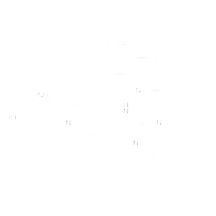 CC(C)C(N)CN1CCC(Nc2nc3ccccc3n2Cc2ccc3ccccc3n2)CC1